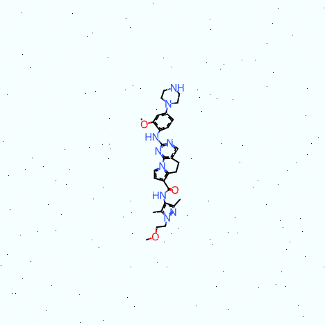 COCCn1nc(C)c(NC(=O)c2ccn3c2CCc2cnc(Nc4ccc(N5CCNCC5)cc4OC)nc2-3)c1C